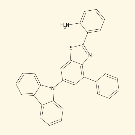 Nc1ccccc1-c1nc2c(-c3ccccc3)cc(-n3c4ccccc4c4ccccc43)cc2s1